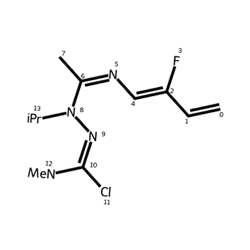 C=C/C(F)=C/N=C(/C)N(/N=C(/Cl)NC)C(C)C